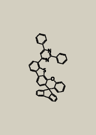 c1ccc(-c2cc(-c3cccc4c3sc3c5c(ccc34)C3(c4ccccc4O5)c4ccccc4-c4ccccc43)nc(-c3ccccc3)n2)cc1